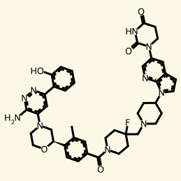 Cc1cc(C(=O)N2CCC(F)(CN3CCC(n4ccc5cc(N6CCC(=O)NC6=O)cnc54)CC3)CC2)ccc1[C@@H]1CN(c2cc(-c3ccccc3O)nnc2N)CCO1